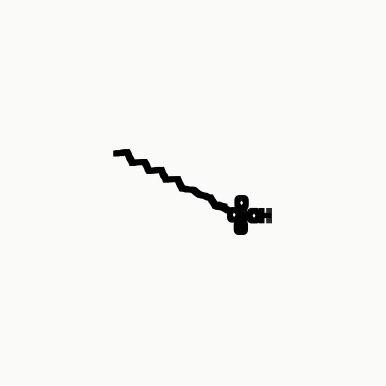 CCCCCCCCCCCCC=COS(=O)(=O)O